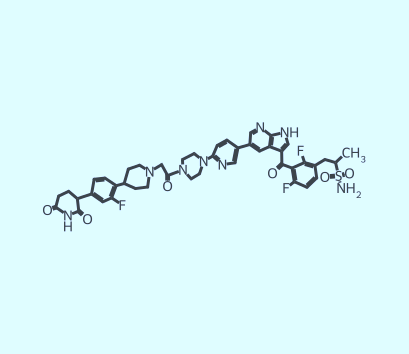 CC(Cc1ccc(F)c(C(=O)c2c[nH]c3ncc(-c4ccc(N5CCN(C(=O)CN6CCC(c7ccc(C8CCC(=O)NC8=O)cc7F)CC6)CC5)nc4)cc23)c1F)S(N)(=O)=O